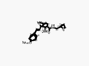 COc1ccc(/C=C/c2n[nH]c3ccc(C(=O)NCc4cccs4)c(OC)c23)cc1